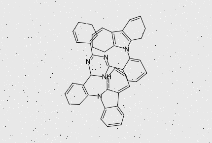 C1=CCC(C2=NC(C3=CCCC=C3)=NC(C3=C(n4c5ccccc5c5ccccc54)CCC=C3)N2)C(n2c3c(c4c2CCC=C4)C=CCC3)=C1